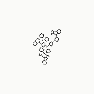 c1ccc(C2(c3ccccc3)c3cc(N(c4ccc(-c5cccc(-n6c7ccccc7c7ccccc76)c5)cc4)c4cccc5c4-c4ccccc4C54c5ccccc5-n5c6ccccc6c6cccc4c65)ccc3-c3c2ccc2ccccc32)cc1